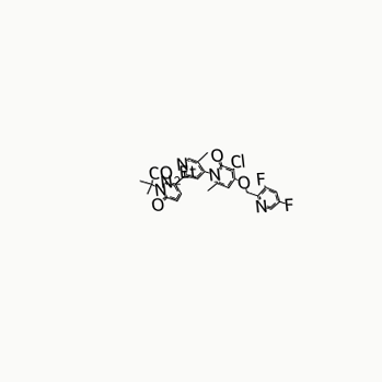 CCOC(=O)C(C)(C)n1nc(-c2cc(-n3c(C)cc(OCc4ncc(F)cc4F)c(Cl)c3=O)c(C)cn2)ccc1=O